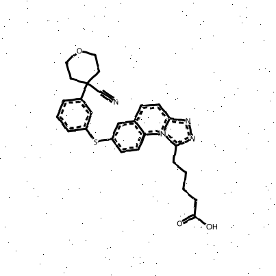 N#CC1(c2cccc(Sc3ccc4c(ccc5nnc(CCCCC(=O)O)n54)c3)c2)CCOCC1